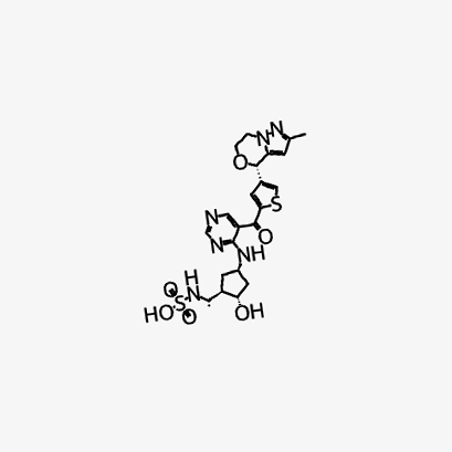 Cc1cc2n(n1)CCO[C@H]2c1csc(C(=O)c2cncnc2N[C@H]2C[C@H](O)[C@@H]([CH]NS(=O)(=O)O)C2)c1